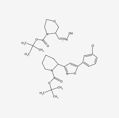 CC(C)(C)OC(=O)N1CCCCC1c1cc(-c2cccc(Cl)c2)on1.CC(C)(C)OC(=O)N1CCOCC1/C=N\O